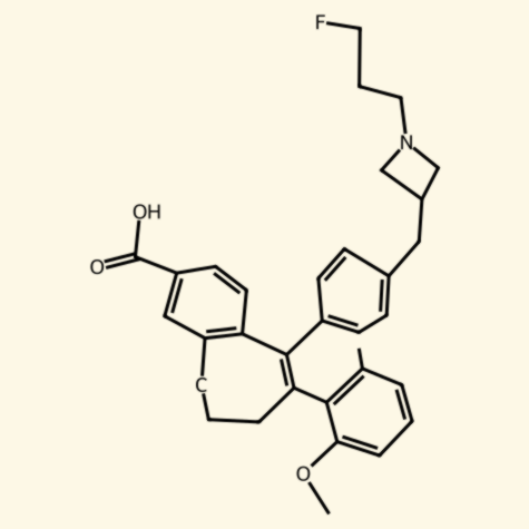 COc1cccc(C)c1C1=C(c2ccc(CC3CN(CCCF)C3)cc2)c2ccc(C(=O)O)cc2CCC1